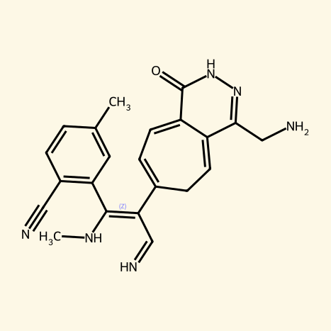 CN/C(=C(\C=N)C1=CC=c2c(=O)[nH]nc(CN)c2=CC1)c1cc(C)ccc1C#N